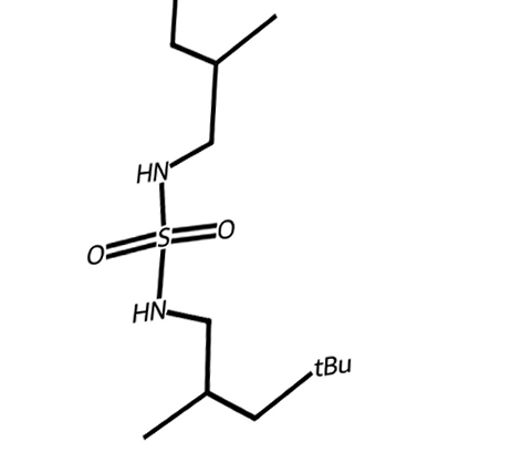 CC(CNS(=O)(=O)NCC(C)CC(C)(C)C)CC(C)(C)C